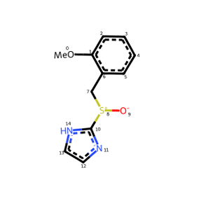 COc1ccccc1C[S+]([O-])c1ncc[nH]1